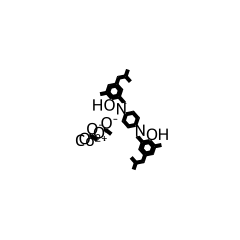 CC(=O)[O-].CC(=O)[O-].Cc1cc(CC(C)C)cc(C=NC2CCC(N=Cc3cc(CC(C)C)cc(C)c3O)CC2)c1O.[Co+2]